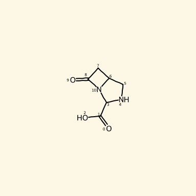 O=C(O)C1NCC2CC(=O)N21